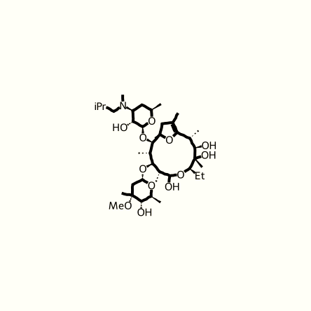 CC[C@H]1OC(O)[C@H](C)[C@@H](O[C@H]2C[C@@](C)(OC)[C@@H](O)[C@H](C)O2)[C@H](C)[C@@H](O[C@@H]2O[C@H](C)C[C@H](N(C)CC(C)C)[C@H]2O)[C@]2(C)CC(C)=C(O2)[C@H](C)[C@@H](O)[C@]1(C)O